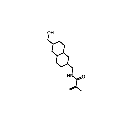 C=C(C)C(=O)NCC1CCC2CC(CO)CCC2C1